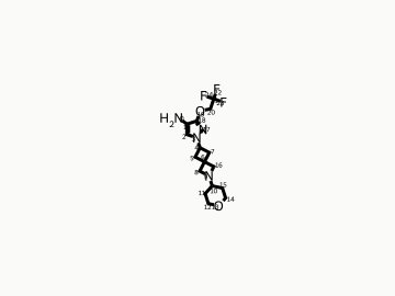 Nc1cn(C2CC3(C2)CN(C2CCOCC2)C3)nc1OCC(F)(F)F